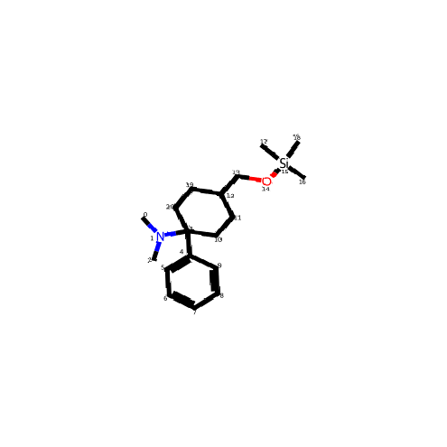 CN(C)C1(c2ccccc2)CCC(CO[Si](C)(C)C)CC1